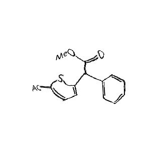 COC(=O)C(c1ccccc1)c1ccc(C(C)=O)s1